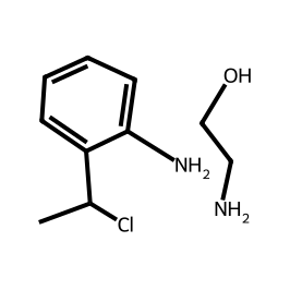 CC(Cl)c1ccccc1N.NCCO